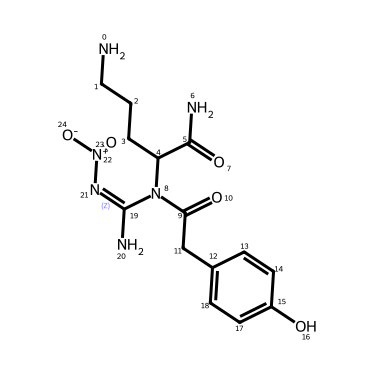 NCCCC(C(N)=O)N(C(=O)Cc1ccc(O)cc1)/C(N)=N\[N+](=O)[O-]